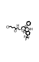 O=C(CCCCl)NC[C@H]1CC[C@@H]2[C@H](O1)c1cc(C(F)(F)F)ccc1N[C@H]2C1C=CC=CC1